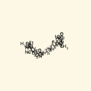 CCN(C)S(=O)(=O)Nc1ccc(F)c(Oc2ccc3ncn(CCC4CCN(C5CCC(c6cc7c(cc6F)c(N6CCC(=O)NC6=O)nn7C)CC5)CC4)c(=O)c3c2)c1C#N